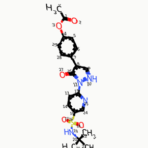 CC(=O)Oc1ccc(-c2c[nH]n(-c3ccc(S(=O)(=O)NC(C)(C)C)cn3)c2=O)cc1